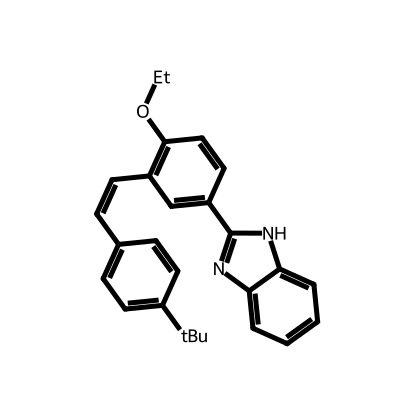 CCOc1ccc(-c2nc3ccccc3[nH]2)cc1/C=C\c1ccc(C(C)(C)C)cc1